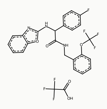 O=C(NCc1ccccc1OC(F)(F)F)C(Nc1nc2ccccc2o1)c1ccc(F)cc1.O=C(O)C(F)(F)F